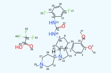 COc1ccc([C@@]23CC[C@@H](NC(=O)Nc4cc(F)ccc4F)C[C@@H]2N(C2CCN(C)CC2)CC3)cc1OC.O=C(O)C(F)(F)F